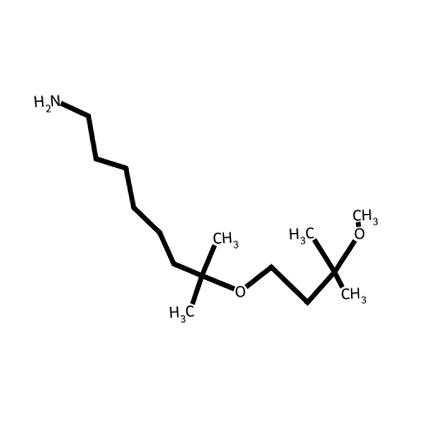 COC(C)(C)CCOC(C)(C)CCCCCCN